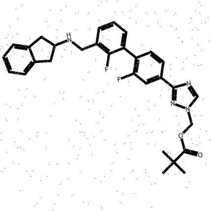 CC(C)(C)C(=O)OCn1cnc(-c2ccc(-c3cccc(CNC4Cc5ccccc5C4)c3F)c(F)c2)n1